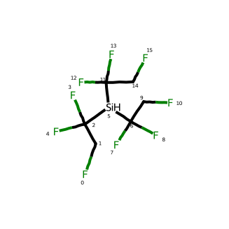 FCC(F)(F)[SiH](C(F)(F)CF)C(F)(F)CF